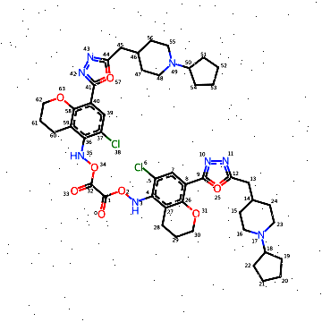 O=C(ONc1c(Cl)cc(-c2nnc(CC3CCN(C4CCCC4)CC3)o2)c2c1CCCO2)C(=O)ONc1c(Cl)cc(-c2nnc(CC3CCN(C4CCCC4)CC3)o2)c2c1CCCO2